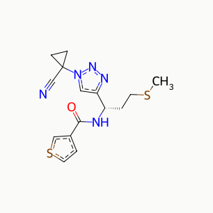 CSCC[C@H](NC(=O)c1ccsc1)c1cn(C2(C#N)CC2)nn1